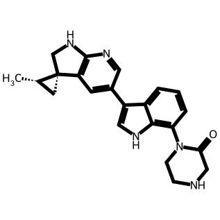 C[C@H]1C[C@@]12CNc1ncc(-c3c[nH]c4c(N5CCNCC5=O)cccc34)cc12